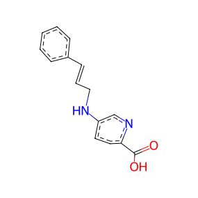 O=C(O)c1ccc(NC/C=C/c2ccccc2)cn1